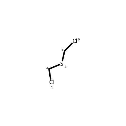 Cl[CH]SCCl